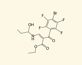 CCOC(=O)C(=CNC(O)CC)C(=O)c1c(F)c(F)c(Br)c(F)c1F